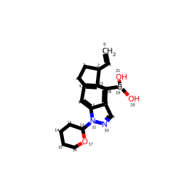 C=CC1CCc2cc3c(cnn3C3CCCCO3)c(B(O)O)c21